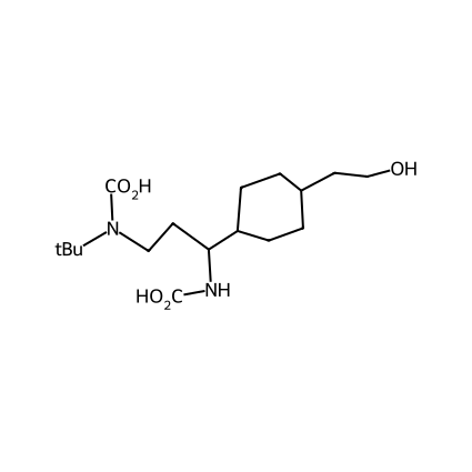 CC(C)(C)N(CCC(NC(=O)O)C1CCC(CCO)CC1)C(=O)O